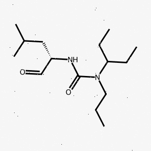 CCCN(C(=O)N[C@H]([C]=O)CC(C)C)C(CC)CC